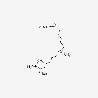 CCCCCCCCCC(CCCCCC[C@@H](C)CCCCCC1CC1CCCCCCCC)N(C)C